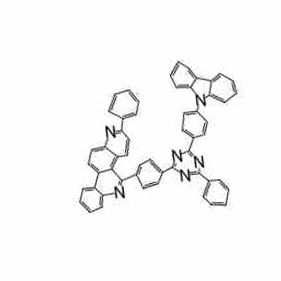 c1ccc(-c2ccc3c(ccc4c5ccccc5nc(-c5ccc(-c6nc(-c7ccccc7)nc(-c7ccc(-n8c9ccccc9c9ccccc98)cc7)n6)cc5)c34)n2)cc1